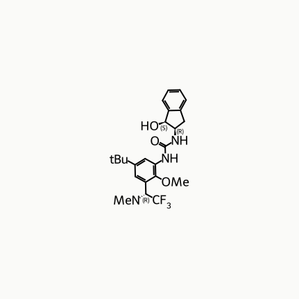 CN[C@H](c1cc(C(C)(C)C)cc(NC(=O)N[C@@H]2Cc3ccccc3[C@@H]2O)c1OC)C(F)(F)F